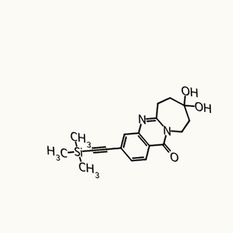 C[Si](C)(C)C#Cc1ccc2c(=O)n3c(nc2c1)CCC(O)(O)CC3